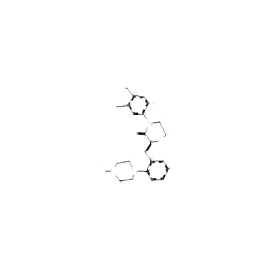 CC(C)N1CCN(c2ccccc2/C=C2\SCCN(c3ccc(Cl)c(Cl)c3)C2=O)CC1